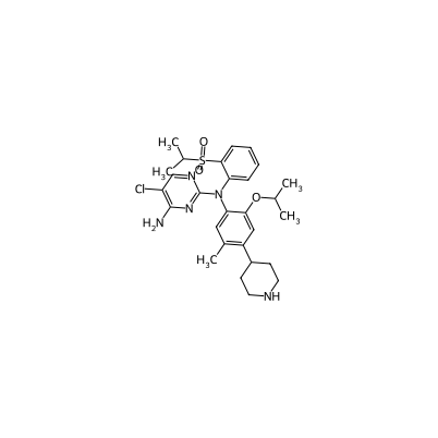 Cc1cc(N(c2ncc(Cl)c(N)n2)c2ccccc2S(=O)(=O)C(C)C)c(OC(C)C)cc1C1CCNCC1